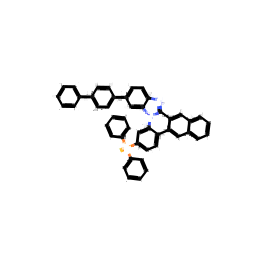 S=P(c1ccccc1)(c1ccccc1)c1ccc2c3cc4ccccc4cc3c3nc4ccc(-c5ccc(-c6ccccc6)cc5)cc4n3c2c1